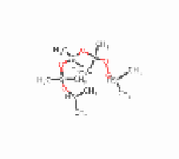 C[SiH](C)OO[Si](C)(C)O[Si](C)(C)O[Si](C)(C)O[SiH](C)C